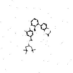 CC1(C)CC(NC(=O)c2ccc(Oc3cccc(-c4ccc5c(c4)NC(=O)CO5)c3C#N)c(Cl)c2)CC(C)(C)O1